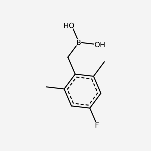 Cc1cc(F)cc(C)c1CB(O)O